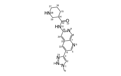 Cn1cc(-c2cnc3cnc(NC(=O)C4CCCNC4)cc3c2)nn1